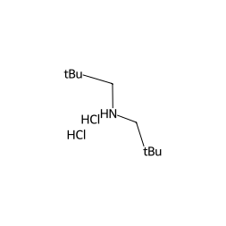 CC(C)(C)CNCC(C)(C)C.Cl.Cl